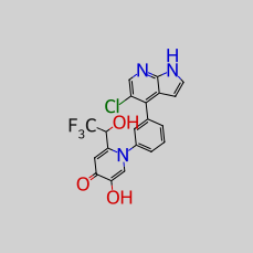 O=c1cc(C(O)C(F)(F)F)n(-c2cccc(-c3c(Cl)cnc4[nH]ccc34)c2)cc1O